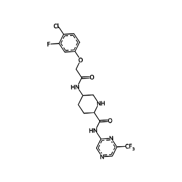 O=C(COc1ccc(Cl)c(F)c1)NC1CCC(C(=O)Nc2cncc(C(F)(F)F)n2)NC1